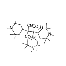 CN1C(C)(C)CC(C(C#N)(C(=O)O)C(C(=O)O)(C2CC(C)(C)N(C)C(C)(C)C2)C2CC(C)(C)N(C)C(C)(C)C2)CC1(C)C